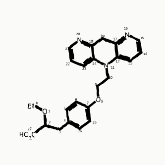 CCOC(Cc1ccc(OCCN2c3cccnc3Cc3ncccc32)cc1)C(=O)O